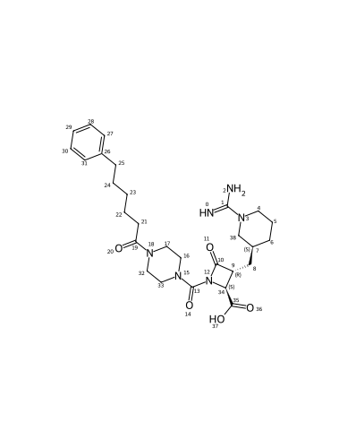 N=C(N)N1CCC[C@@H](C[C@H]2C(=O)N(C(=O)N3CCN(C(=O)CCCCCc4ccccc4)CC3)[C@@H]2C(=O)O)C1